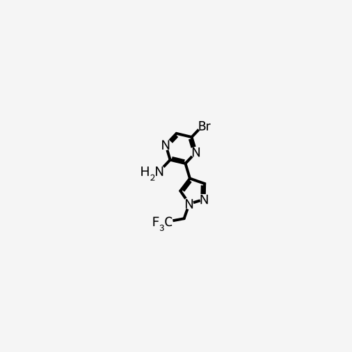 Nc1ncc(Br)nc1-c1cnn(CC(F)(F)F)c1